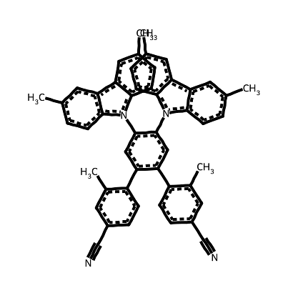 Cc1ccc2c(c1)c1cc(C)ccc1n2-c1cc(-c2ccc(C#N)cc2C)c(-c2ccc(C#N)cc2C)cc1-n1c2ccc(C)cc2c2cc(C)ccc21